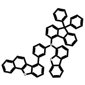 c1ccc(C2(c3ccccc3)c3ccccc3-c3c(N(c4cccc(-c5cccc6oc7c8ccccc8ccc7c56)c4)c4cccc5c4sc4ccccc45)cccc32)cc1